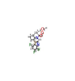 CCOC(=O)CC1Cc2ccccc2N(Cc2nc3c(F)c(F)cc(F)c3s2)C1=O